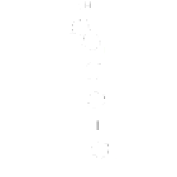 CCc1cc(-c2ccc(-c3c(F)cc4cc(C)cc(F)c4c3F)cc2)cc(F)c1C#Cc1cc(F)c(F)c(F)c1